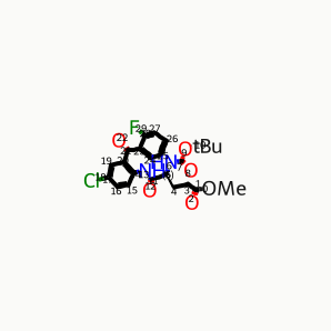 COC(=O)CC[C@H](NC(=O)OC(C)(C)C)C(=O)Nc1ccc(Cl)cc1C(=O)c1ccccc1F